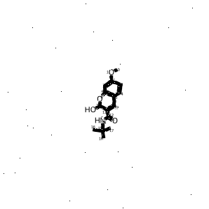 COc1ccc2c(c1)OC(O)C(C(=O)NC(C)(C)C)=C2